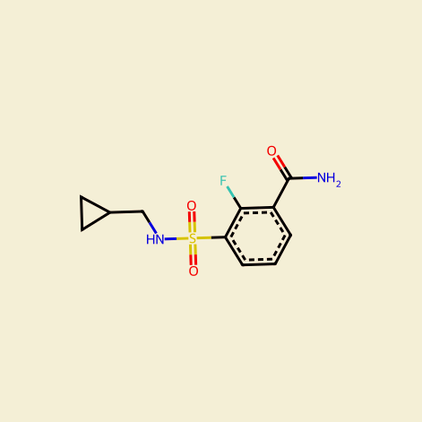 NC(=O)c1cccc(S(=O)(=O)NCC2CC2)c1F